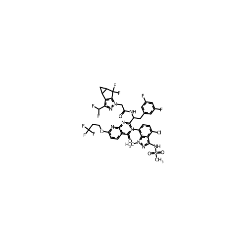 Cn1nc(NS(C)(=O)=O)c2c(Cl)ccc(-n3c(C(Cc4cc(F)cc(F)c4)NC(=O)Cn4nc(C(F)F)c5c4C(F)(F)C4CC54)nc4nc(OCCC(F)(F)F)ccc4c3=O)c21